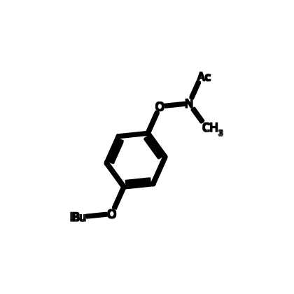 CCC(C)Oc1ccc(ON(C)C(C)=O)cc1